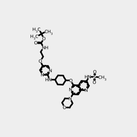 CC(C)(C)OC(=O)NCCOc1cnc(NC2CCC(Oc3nc(N4CCOCC4)cc4ncc(NS(C)(=O)=O)cc34)CC2)nc1